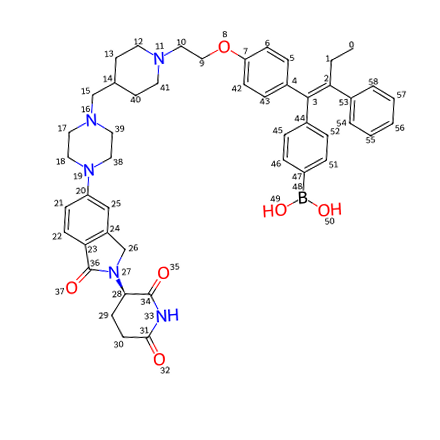 CC/C(=C(\c1ccc(OCCN2CCC(CN3CCN(c4ccc5c(c4)CN([C@@H]4CCC(=O)NC4=O)C5=O)CC3)CC2)cc1)c1ccc(B(O)O)cc1)c1ccccc1